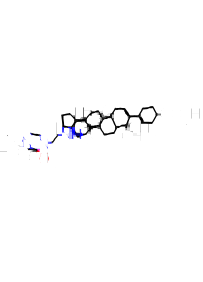 CC(=O)N1CCN(CCNC23CCCC2[C@H]2CCC4C(C)(CCC5C(C)(C)C(C6=CCC(C(=O)O)CC6)=CC[C@@]54C)[C@]2(C)CC3)C(=O)C1(C)C